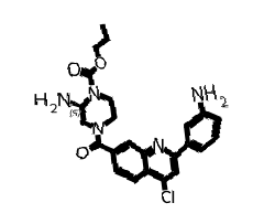 CCCOC(=O)N1CCN(C(=O)c2ccc3c(Cl)cc(-c4cccc(N)c4)nc3c2)C[C@H]1N